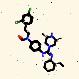 CC[C@@H]1CCCC[C@H]1/N=C(\Nc1ccc(N(C=O)CCc2ccc(Cl)cc2Cl)cc1)N1C[C@@H](C)N[C@@H](C)C1